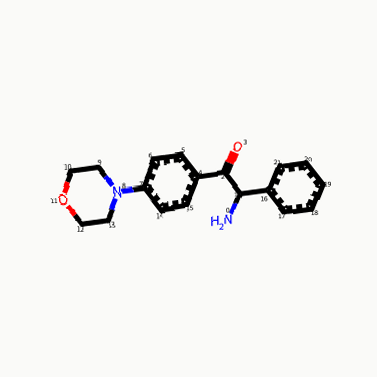 NC(C(=O)c1ccc(N2CCOCC2)cc1)c1ccccc1